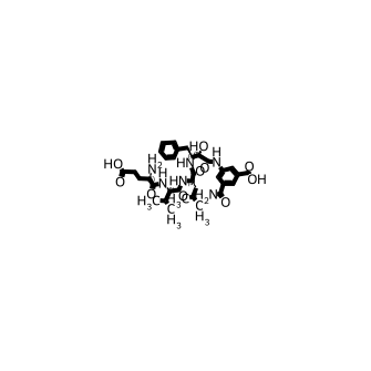 CC(C)C[C@H](NC(=O)[C@@H](NC(=O)[C@@H](N)CCC(=O)O)C(C)C)C(=O)N[C@@H](Cc1ccccc1)[C@@H](O)C(=O)Nc1cc(C(N)=O)cc(C(=O)O)c1